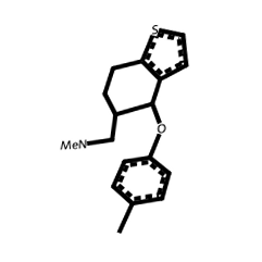 CNCC1CCc2sccc2C1Oc1ccc(C)cc1